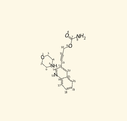 C1COCCN1.NC(=O)OCC#Cc1cnc2ccccc2c1